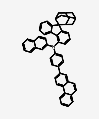 c1ccc2c(c1)-c1c(N(c3ccc(-c4ccc5c(ccc6ccccc65)c4)cc3)c3ccc4ccccc4c3)cccc1C21C2CC3CC(C2)CC1C3